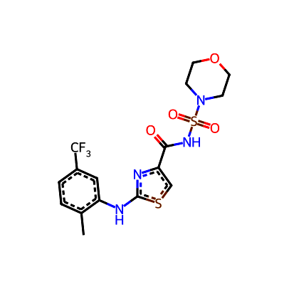 Cc1ccc(C(F)(F)F)cc1Nc1nc(C(=O)NS(=O)(=O)N2CCOCC2)cs1